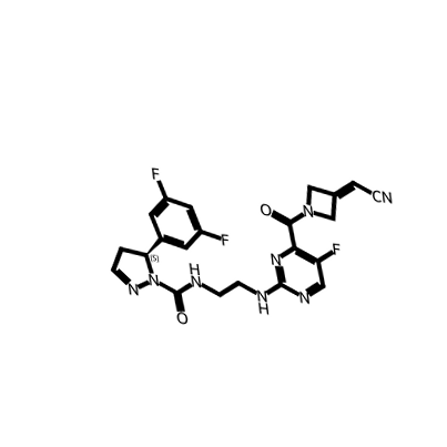 N#CC=C1CN(C(=O)c2nc(NCCNC(=O)N3N=CC[C@H]3c3cc(F)cc(F)c3)ncc2F)C1